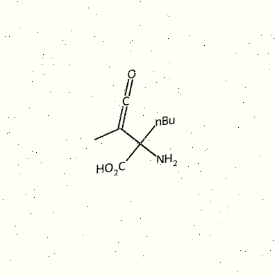 CCCCC(N)(C(=O)O)C(C)=C=O